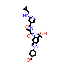 CC(C)(O)c1cc2nn([C@H]3CC[C@H](C=O)CC3)cc2cc1NC(=O)c1coc(-c2ccnc(NCC3CC3)c2)n1